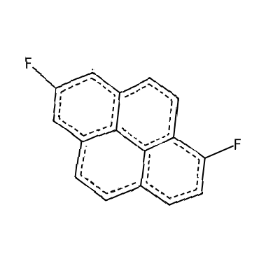 Fc1[c]c2ccc3c(F)ccc4ccc(c1)c2c43